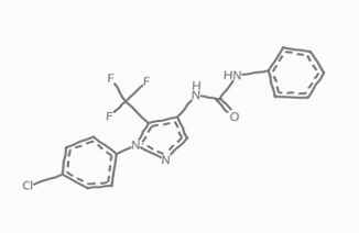 O=C(Nc1ccccc1)Nc1cnn(-c2ccc(Cl)cc2)c1C(F)(F)F